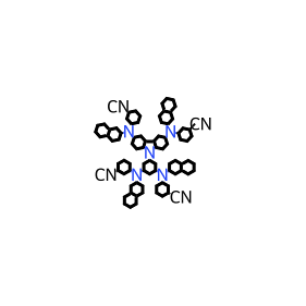 [C-]#[N+]c1cccc(N(c2cc(N(c3cccc(C#N)c3)c3ccc4ccccc4c3)cc(-n3c4ccc(N(c5cccc(C#N)c5)c5ccc6ccccc6c5)cc4c4cc(N(c5cccc([N+]#[C-])c5)c5ccc6ccccc6c5)ccc43)c2)c2ccc3ccccc3c2)c1